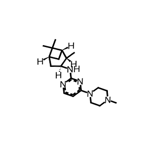 C[C@@H]1[C@@H](Nc2nccc(N3CCN(C)CC3)n2)C[C@H]2C[C@@H]1C2(C)C